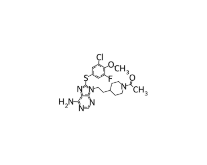 COc1c(F)cc(Sc2nc3c(N)ncnc3n2CCC2CCN(C(C)=O)CC2)cc1Cl